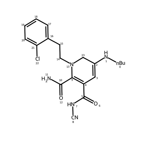 CCCCNC1=CC(C(=O)NC#N)=C(C(N)=O)N(CCc2ccccc2Cl)C1